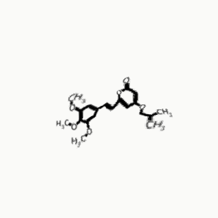 COc1cc(/C=C/c2cc(OCC(C)C)cc(=O)o2)cc(OC)c1OC